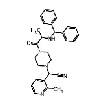 Cc1ncccc1C(C#N)N1CCN(C(=O)C(C)NC(c2ccccc2)c2ccccc2)CC1